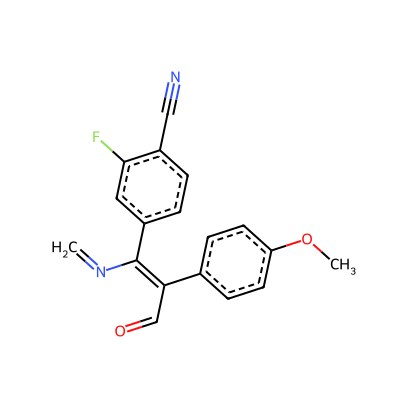 C=N/C(=C(\C=O)c1ccc(OC)cc1)c1ccc(C#N)c(F)c1